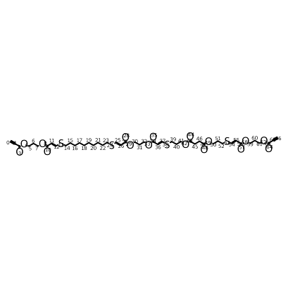 C#CC(=O)OCCCOC(=O)C=CSCCCCCCCCCCS/C=C/C(=O)OCCCOC(=O)C=CSCCCOC(=O)CCC(=O)OCCCS/C=C/C(=O)OCCCOC(=O)C#C